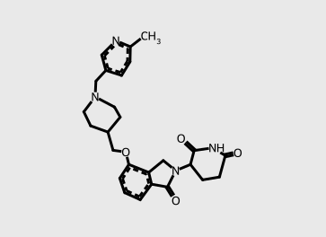 Cc1ccc(CN2CCC(COc3cccc4c3CN(C3CCC(=O)NC3=O)C4=O)CC2)cn1